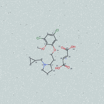 COc1c(Cl)cc(Cl)cc1OCCC1CCCN1CC1CC1.O=C(O)/C=C/C(=O)O